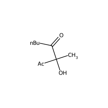 CCCCC(=O)C(C)(O)C(C)=O